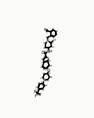 N#Cc1ccccc1CN1CCC(NC(=O)c2cc3ccc(OC4CCN(c5ccc(C(F)(F)F)cc5)CC4)cc3s2)CC1I